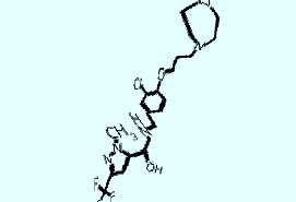 Cn1nc(C(F)(F)F)cc1C(O)NCc1ccc(OCCCN2CCOCC2)c(Cl)c1